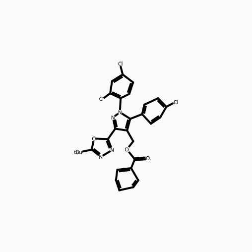 CC(C)(C)c1nnc(-c2nn(-c3ccc(Cl)cc3Cl)c(-c3ccc(Cl)cc3)c2COC(=O)c2ccccc2)o1